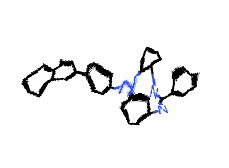 c1ccc(-c2nc3cccc4c3n2-c2ccccc2N4c2ccc(-c3ccc4ccccc4c3)cc2)cc1